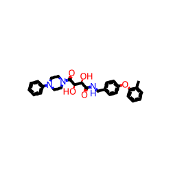 Cc1ccccc1Oc1ccc(CNC(=O)[C@H](O)[C@@H](O)C(=O)N2CCN(c3ccccc3)CC2)cc1